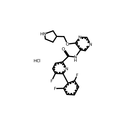 Cl.O=C(Nc1cncnc1OCC1CCNC1)c1ccc(F)c(-c2c(F)cccc2F)n1